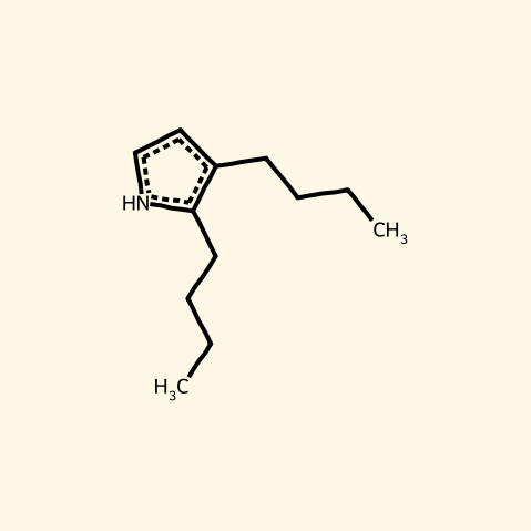 CCCCc1cc[nH]c1CCCC